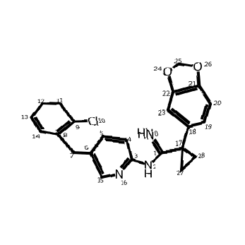 N=C(Nc1ccc(CC2=C(Cl)CCC=C2)cn1)C1(c2ccc3c(c2)OCO3)CC1